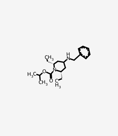 CC[C@@H]1CC(NCc2ccccc2)C[C@H](CC)N1C(=O)OC(C)C